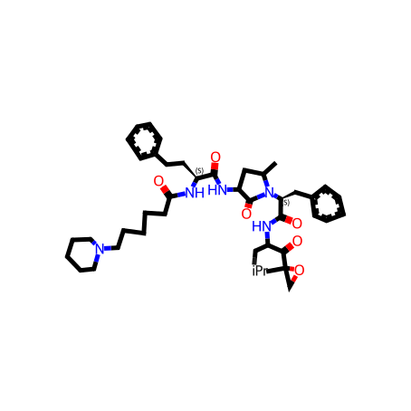 CC(C)CC(NC(=O)[C@H](Cc1ccccc1)N1C(=O)C(NC(=O)[C@H](CCc2ccccc2)NC(=O)CCCCCN2CCCCC2)CC1C)C(=O)C1(C)CO1